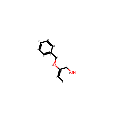 CC=C(CO)OCc1ccccc1